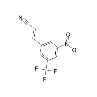 N#C/C=C/c1cc([N+](=O)[O-])cc(C(F)(F)F)c1